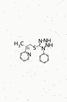 C[C@H](CSC1=NNNN1c1ccccc1)c1ccccn1